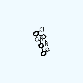 COc1ccccc1-c1ccc(C(=O)N2C(c3ccccc3Cl)CC[C@H]2C#N)cc1